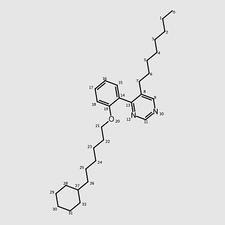 CCCCCCCCc1cncnc1-c1ccccc1OCCCCCCC1CCCCC1